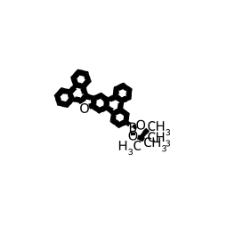 CC1(C)OB(c2ccc3c(c2)c2ccccc2c2cc4c(cc32)oc2c3ccccc3c3ccccc3c42)OC1(C)C